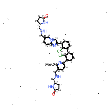 COc1nc(-c2cccc(-c3cccc(-c4cn5cc(CNC[C@H]6CCC(=O)N6)ccc5n4)c3Cl)c2Cl)ccc1CNC[C@H]1CCC(=O)N1